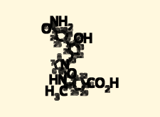 C[C@H](NC(=O)[C@H]1CCCN1Cc1ccc(O)c(-c2ccc(C(N)=O)cc2)c1)c1ccc(C(=O)O)cc1